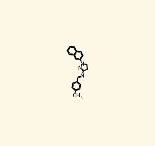 Cc1ccc(C=NC2=NN(c3ccc4ccccc4c3)CC2)cc1